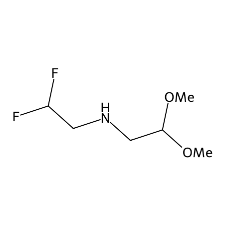 COC(CNCC(F)F)OC